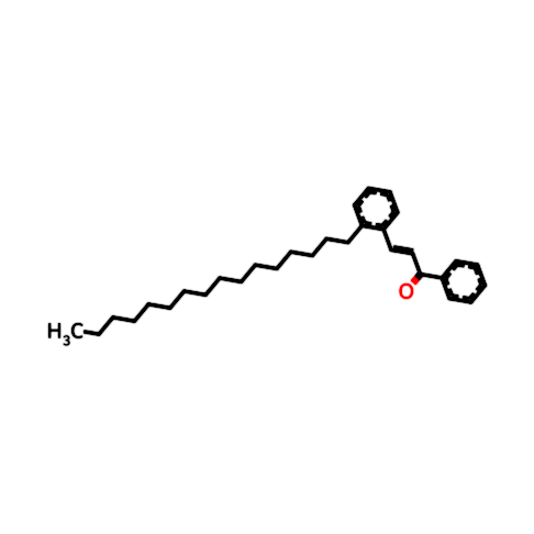 CCCCCCCCCCCCCCCCc1ccccc1C=CC(=O)c1ccccc1